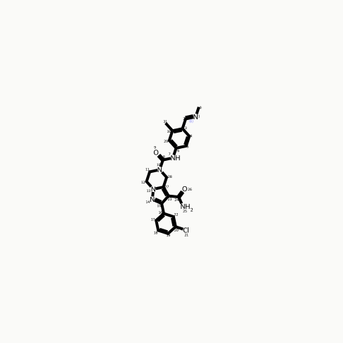 C/N=C/c1ccc(NC(=O)N2CCn3nc(-c4cccc(Cl)c4)c(C(N)=O)c3C2)cc1C